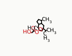 CC1CCC2C1CC1(C(C)C)CC(OC(=O)CO)C2(C)O1